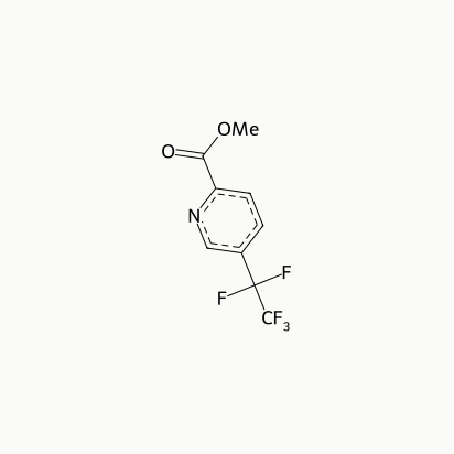 COC(=O)c1ccc(C(F)(F)C(F)(F)F)cn1